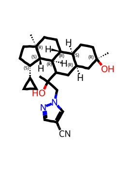 CC(O)(Cn1cc(C#N)cn1)C1C[C@@H]2C[C@](C)(O)CC[C@@H]2[C@H]2CC[C@]3(C)CC[C@@H](C4CC4)[C@H]3[C@H]12